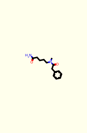 CN(CCCCC(N)=O)C(=O)[CH]c1ccccc1